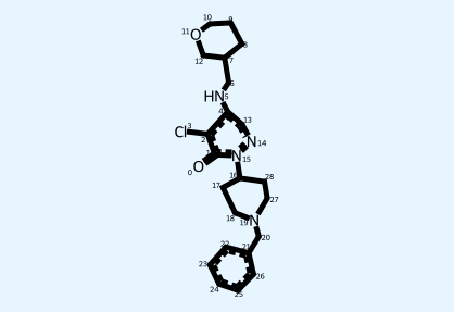 O=c1c(Cl)c(NCC2CCCOC2)cnn1C1CCN(Cc2ccccc2)CC1